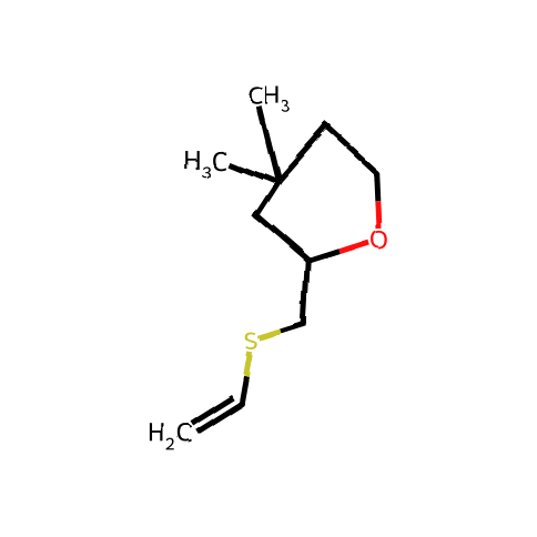 C=CSCC1CC(C)(C)CCO1